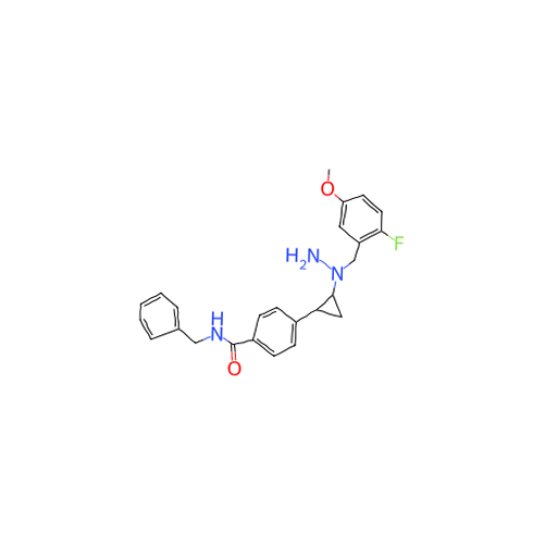 COc1ccc(F)c(CN(N)C2CC2c2ccc(C(=O)NCc3ccccc3)cc2)c1